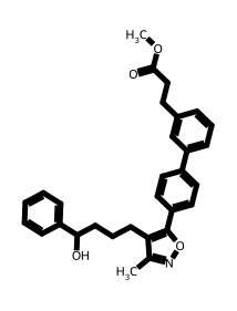 COC(=O)CCc1cccc(-c2ccc(-c3onc(C)c3CCCC(O)c3ccccc3)cc2)c1